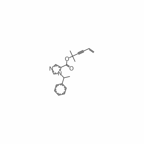 C=CC#CC(C)(C)OC(=O)c1cncn1C(C)c1ccccc1